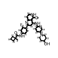 CC1(C(=O)Nc2ccc(-c3cc(Nc4ccc(N5CCC(O)CC5)cn4)c4c(=O)[nH]ccc4n3)c(F)c2)CCC1